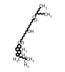 CCCCCC(CCCCC)CCOC(=O)CCCCCCCC(O)CCCCCCCC(=O)O[C@H]1CC[C@@]2(C)C(=CCC3C2CC[C@@]2(C)C3CC[C@@H]2C(C)CCCC(C)C)C1